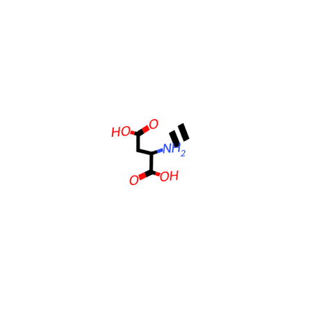 C=C.C=C.NC(CC(=O)O)C(=O)O